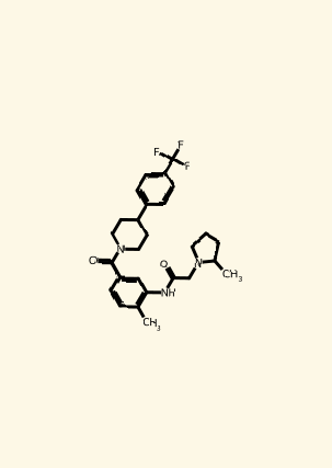 Cc1ccc(C(=O)N2CCC(c3ccc(C(F)(F)F)cc3)CC2)cc1NC(=O)CN1CCCC1C